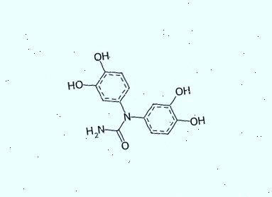 NC(=O)N(c1ccc(O)c(O)c1)c1ccc(O)c(O)c1